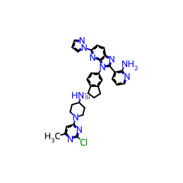 Cc1cc(N2CCC(N[C@H]3CCc4cc(-n5c(-c6cccnc6N)nc6ccc(-n7cccn7)nc65)ccc43)CC2)nc(Cl)n1